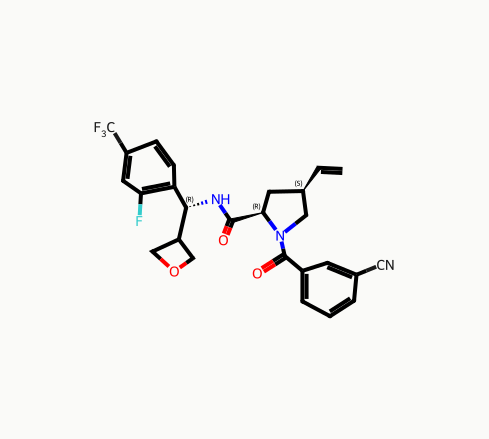 C=C[C@@H]1C[C@H](C(=O)N[C@@H](c2ccc(C(F)(F)F)cc2F)C2COC2)N(C(=O)c2cccc(C#N)c2)C1